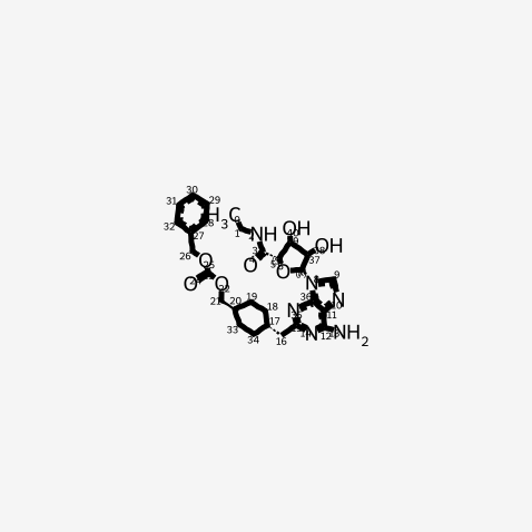 CCNC(=O)[C@H]1O[C@@H](n2cnc3c(N)nc(C[C@H]4CC[C@H](COC(=O)OCc5ccccc5)CC4)nc32)C(O)C1O